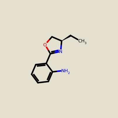 CC[C@@H]1COC(c2ccccc2N)=N1